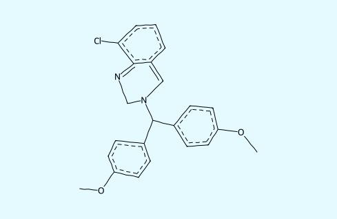 COc1ccc(C(c2ccc(OC)cc2)N2C=c3cccc(Cl)c3=NC2)cc1